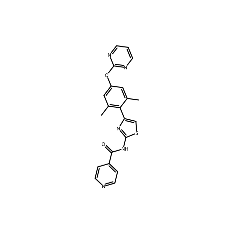 Cc1cc(Oc2ncccn2)cc(C)c1-c1csc(NC(=O)c2ccncc2)n1